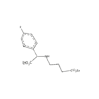 CCOC(=O)CCCNC(C(=O)OCC)c1ccc(F)cc1